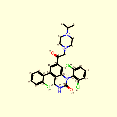 CC(C)N1CCN(CC(=O)c2cc(-c3ccccc3Cl)c3c(c2)N(c2c(Cl)cccc2Cl)C(=O)NC3)CC1